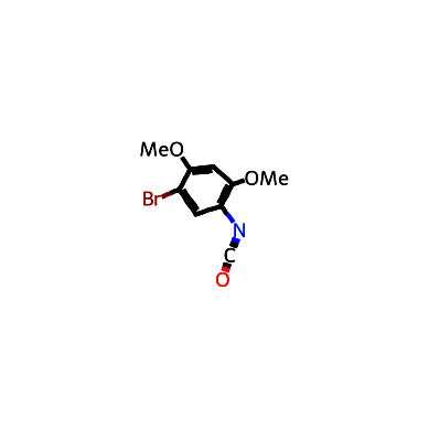 COc1cc(OC)c(N=C=O)cc1Br